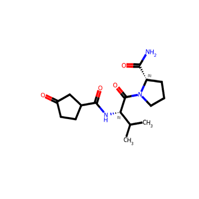 CC(C)[C@H](NC(=O)C1CCC(=O)C1)C(=O)N1CCC[C@H]1C(N)=O